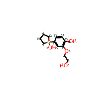 OCCOc1cc(S2(O)CCCC2)ccc1O